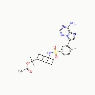 Cc1ccc(S(=O)(=O)NC23C4C5C2C2C3C4C52C(C)(C)OC(=O)C(F)(F)F)cc1-c1cnc2c(N)ncnn12